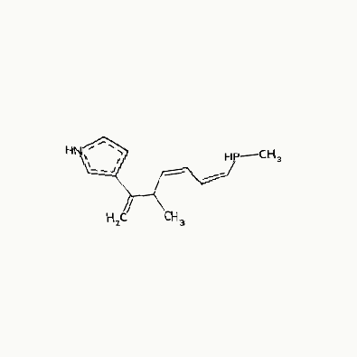 C=C(c1cc[nH]c1)C(C)/C=C\C=C/PC